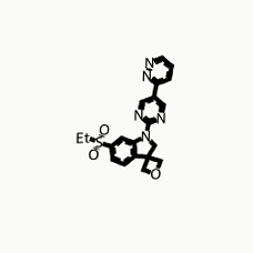 CCS(=O)(=O)c1ccc2c(c1)N(c1ncc(-c3cccnn3)cn1)CC21COC1